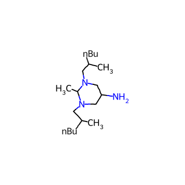 CCCCC(C)CN1CC(N)CN(CC(C)CCCC)C1C